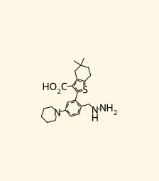 CC1(C)CCc2sc(-c3cc(N4CCCCC4)ccc3CNN)c(C(=O)O)c2C1